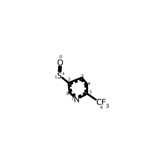 O=[S+]c1ccc(C(F)(F)F)nc1